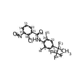 CC(F)(c1cc(I)c(NC(=O)c2cccc(N=O)c2Cl)c(I)c1)C(F)(F)F